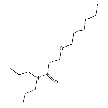 CCCCCCOCCC(=O)N(CCC)CCC